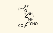 CC(C)C(OCC1(N)CC1N[C@H](C=O)CC(=O)O)C(C)C